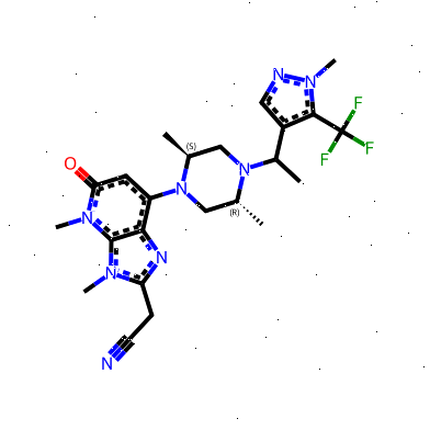 CC(c1cnn(C)c1C(F)(F)F)N1C[C@H](C)N(c2cc(=O)n(C)c3c2nc(CC#N)n3C)C[C@H]1C